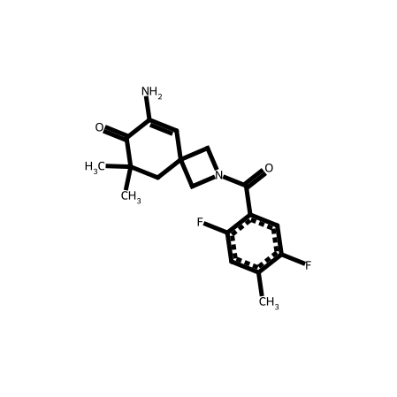 Cc1cc(F)c(C(=O)N2CC3(C=C(N)C(=O)C(C)(C)C3)C2)cc1F